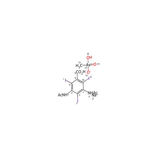 CC(=O)Nc1c(I)c(NC(C)=O)c(I)c(C(=O)O)c1I.C[As](=O)([O-])O.[Na+]